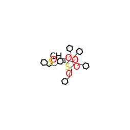 COc1ccc([C@@H]2S[C@H](COCc3ccccc3)[C@@H](OCc3ccccc3)[C@H](OCc3ccccc3)[C@H]2OCc2ccccc2)cc1Cc1cc2ccccc2s1